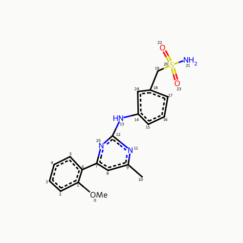 COc1ccccc1-c1cc(C)nc(Nc2cccc(CS(N)(=O)=O)c2)n1